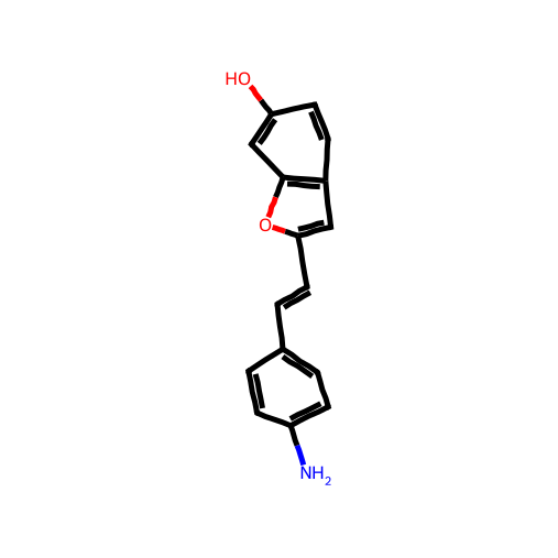 Nc1ccc(C=Cc2cc3ccc(O)cc3o2)cc1